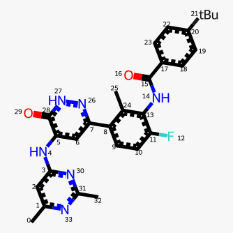 Cc1cc(Nc2cc(-c3ccc(F)c(NC(=O)c4ccc(C(C)(C)C)cc4)c3C)n[nH]c2=O)nc(C)n1